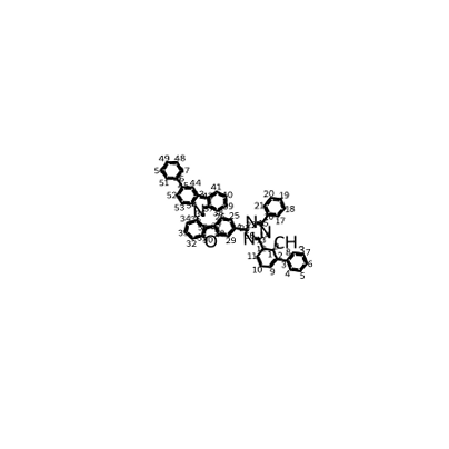 CC1C(c2ccccc2)=CC=CC1c1nc(-c2ccccc2)nc(-c2ccc3c(c2)oc2cccc(-n4c5ccccc5c5cc(-c6ccccc6)ccc54)c23)n1